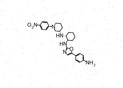 Nc1ccc(-c2cnc(N[C@@H]3CCCC[C@H]3N[C@H]3CCCN(c4ccc([N+](=O)[O-])cc4)C3)o2)cc1